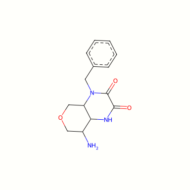 NC1COCC2C1NC(=O)C(=O)N2Cc1ccccc1